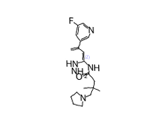 C=C(/C=C(\NN)NC(=O)CC(C)(C)CN1CCCC1)c1cncc(F)c1